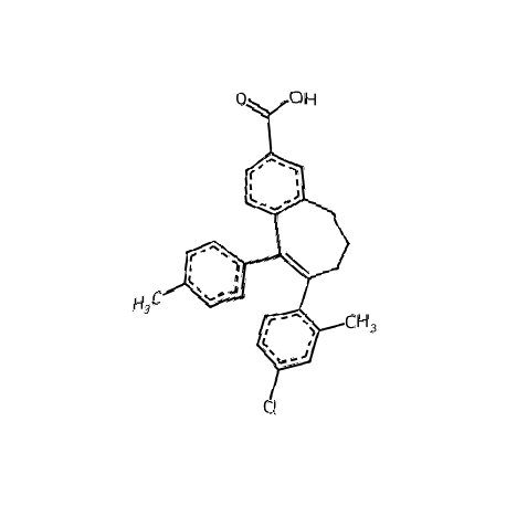 Cc1ccc(C2=C(c3ccc(Cl)cc3C)CCCc3cc(C(=O)O)ccc32)cc1